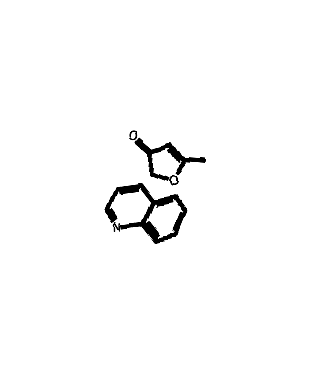 CC1=CC(=O)CO1.c1ccc2ncccc2c1